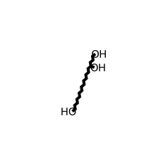 OCCCCCCCCCCCCCCC(O)CCCO